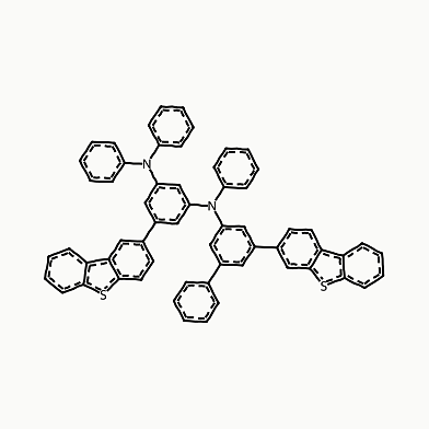 c1ccc(-c2cc(-c3ccc4c(c3)sc3ccccc34)cc(N(c3ccccc3)c3cc(-c4ccc5sc6ccccc6c5c4)cc(N(c4ccccc4)c4ccccc4)c3)c2)cc1